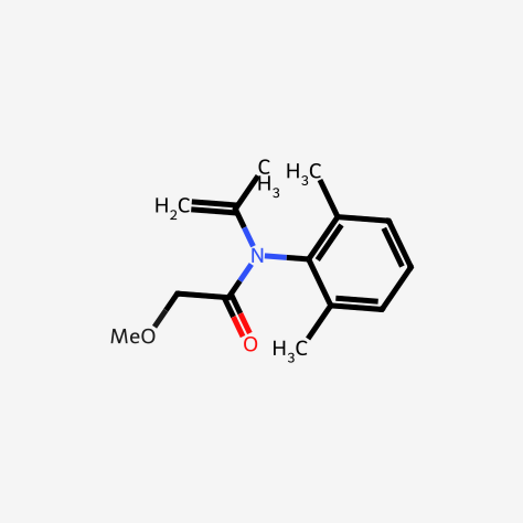 C=C(C)N(C(=O)COC)c1c(C)cccc1C